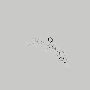 C[C@H](NP(=O)(OC[C@@]1(C)OC[C@](O)(c2ccc3c(N)ncnn23)[C@@H]1O)Oc1ccccc1)C(=O)OC[C@H]1CC[C@H](NC(=O)OC(C)(C)C)CC1